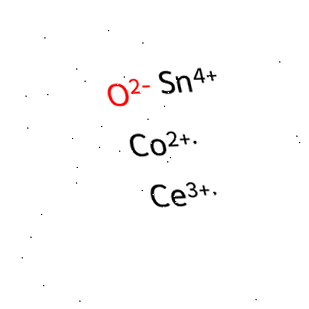 [Ce+3].[Co+2].[O-2].[Sn+4]